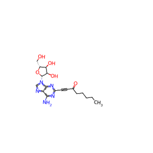 CCCCCC(=O)C#Cc1nc(N)c2ncn([C@@H]3O[C@H](CO)[C@@H](O)[C@H]3O)c2n1